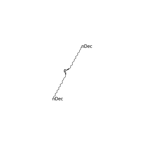 CCCCCCCCCCCCCCCCCCCCCCCCC#C[P]C#CCCCCCCCCCCCCCCCCCCCCCCCC